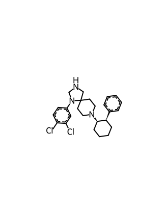 Clc1ccc(N2CNCC23CCN([C@@H]2CCCC[C@@H]2c2ccccc2)CC3)cc1Cl